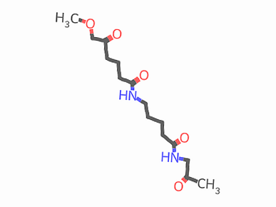 COCC(=O)CCCC(=O)NCCCCC(=O)NCC(C)=O